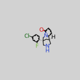 O=c1cccc2n1C[C@]1(c3ccc(Cl)cc3F)CNC[C@H]2C1